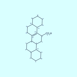 O=C(O)C1CC2C(CCC3CCCCC32)C2=C1C1CCCCC1CC2